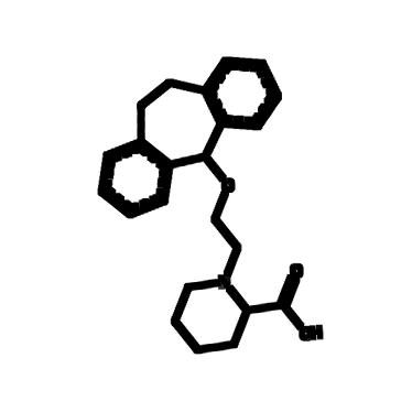 O=C(O)C1CCCCN1CCOC1c2ccccc2CCc2ccccc21